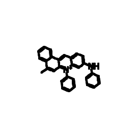 Cc1cc2c(cc3ccc(Nc4ccccc4)cc3[n+]2-c2ccccc2)c2ccccc12